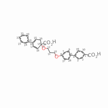 O=C(O)c1ccc(-c2ccc(OCCCOC3(C(=O)O)C=CC(c4ccccc4)=CC3)cc2)cc1